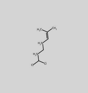 CC(C)=C[SiH2]C[SiH2]C(Cl)Cl